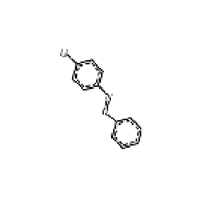 [Li][c]1ccc(N=Nc2ccccc2)cc1